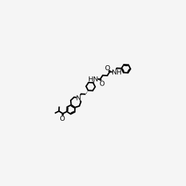 CC(C)C(=O)c1ccc2c(c1)CCN(CC[C@H]1CC[C@H](NC(=O)CCC(=O)NCc3ccccc3)CC1)CC2